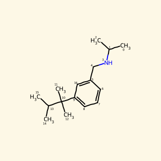 CC(C)NCc1cccc(C(C)(C)C(C)C)c1